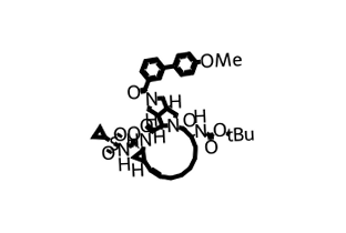 COc1ccc(-c2cccc(C(=O)N3C[C@H]4CN5C(=O)[C@H](NC(=O)OC(C)(C)C)CCCCC/C=C\[C@H]6C[C@@]6(C(=O)NS(=O)(=O)C6CC6)NC(=O)[C@@H]5[C@H]4C3)c2)cc1